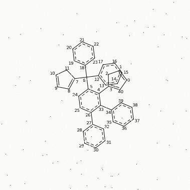 C1=CCC(c2c(C(C3=CC=CC3)(c3ccccc3)c3ccccc3)ccc(-c3ccccc3)c2-c2ccccc2)=C1